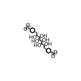 O=[N+]([O-])c1ccc(C=C(O)[C@@H](O)[C@@H](O)[C@H](O)[C@@H](O)C(O)=Cc2ccc([N+](=O)[O-])cc2)cc1